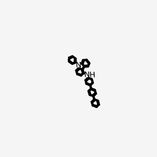 C1=C(Nc2cccc3c2c2ccccc2n3-c2ccccc2)CCC(c2ccc(-c3ccccc3)cc2)=C1